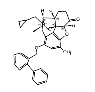 C[N@+]1(CC2CC2)CC[C@]23c4c5c(OCc6ccccc6-c6ccccc6)cc(O)c4O[C@H]2C(=O)CC[C@H]3[C@H]1C5.[I-]